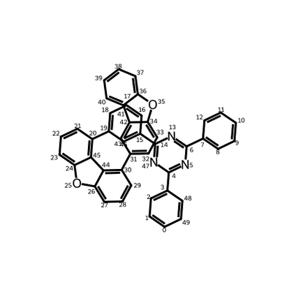 c1ccc(-c2nc(-c3ccccc3)nc(-c3cccc(-c4cccc5oc6cccc(-c7ccc8oc9ccccc9c8c7)c6c45)c3)n2)cc1